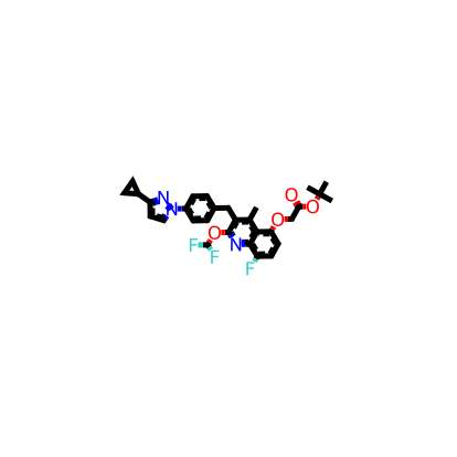 Cc1c(Cc2ccc(-n3ccc(C4CC4)n3)cc2)c(OC(F)F)nc2c(F)ccc(OCC(=O)OC(C)(C)C)c12